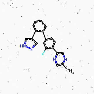 Cc1cnc(-c2ccc(-c3ccccc3-c3cn[nH]c3)cc2F)cn1